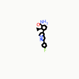 NC(=O)c1cccc(-c2ccn3nc(-c4ccc(F)cc4)cc3c2)c1C1CC1